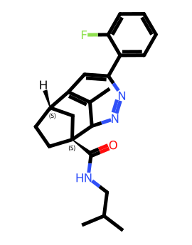 CC1=C2C=C(c3ccccc3F)N=NC1[C@]1(C(=O)NCC(C)C)CC[C@H]2C1